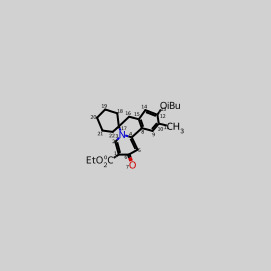 CCOC(=O)c1cn2c(cc1=O)-c1cc(C)c(OCC(C)C)cc1CC21CCCCC1